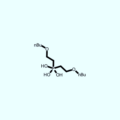 CCCCOCCP(O)(O)(O)CCOCCCC